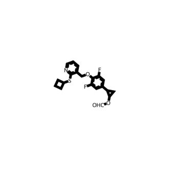 O=COC1CC1c1cc(F)c(OCc2cccnc2SC2CCC2)c(F)c1